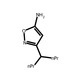 CCCC(CCC)c1cc(N)on1